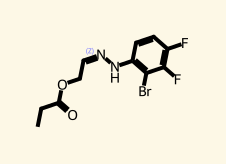 CCC(=O)OC/C=N\Nc1ccc(F)c(F)c1Br